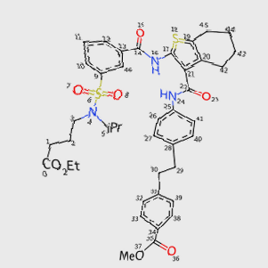 CCOC(=O)CCCN(C(C)C)S(=O)(=O)c1cccc(C(=O)Nc2sc3c(c2C(=O)Nc2ccc(CCc4ccc(C(=O)OC)cc4)cc2)CCCC3)c1